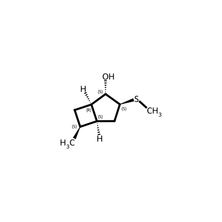 CS[C@H]1C[C@@H]2[C@@H](C[C@@H]2C)[C@@H]1O